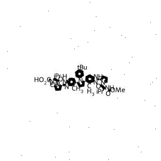 COC(=O)N[C@H](C(=O)N1CCC[C@H]1c1nc2c(C)c([C@@H]3CC[C@H](c4ccc5[nH]c([C@@H]6CCCN6C(=O)[C@H](C(C)C)N(C)C(=O)O)nc5c4C)N3c3ccc(C(C)(C)C)cc3)ccc2[nH]1)C(C)C